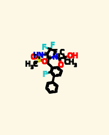 CC(O)(C(=O)N1CC(F)(F)[C@H](NS(C)(=O)=O)[C@@H]1Cc1cccc(-c2ccccc2)c1F)C(F)(F)F